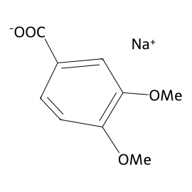 COc1ccc(C(=O)[O-])cc1OC.[Na+]